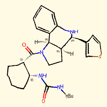 CCCCNC(=O)N[C@@H]1CCCC[C@@H]1C(=O)N1CC[C@@H]2[C@H](c3ccsc3)Nc3ccccc3[C@@H]21